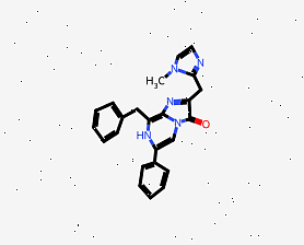 Cn1ccnc1Cc1nc2c(Cc3ccccc3)[nH]c(-c3ccccc3)cn-2c1=O